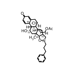 CC(=O)OCC(=O)[C@@]12ON(CCCc3ccccc3)C[C@@H]1C[C@H]1[C@@H]3CCC4=CC(=O)C=C[C@]4(C)[C@H]3[C@@H](O)C[C@@]12C